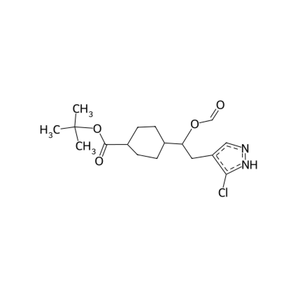 CC(C)(C)OC(=O)C1CCC(C(Cc2cn[nH]c2Cl)OC=O)CC1